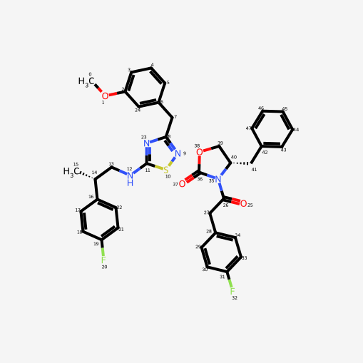 COc1cccc(Cc2nsc(NC[C@@H](C)c3ccc(F)cc3)n2)c1.O=C(Cc1ccc(F)cc1)N1C(=O)OC[C@@H]1Cc1ccccc1